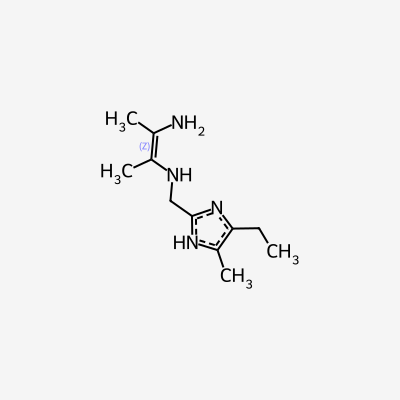 CCc1nc(CN/C(C)=C(/C)N)[nH]c1C